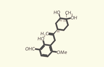 C=C(Cc1c(OC)ccc(C=O)c1O)[C@@H]1CC[C@](C)(O)[C@H](O)C1